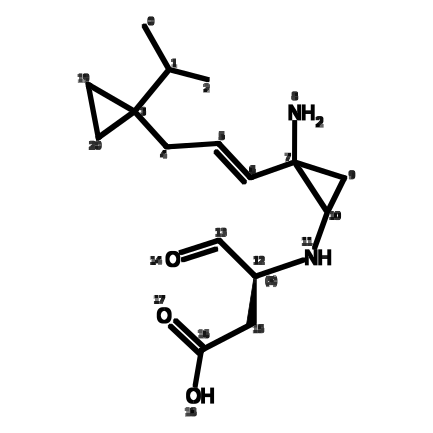 CC(C)C1(CC=CC2(N)CC2N[C@H](C=O)CC(=O)O)CC1